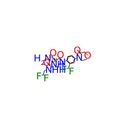 NC(=O)[C@H](NC(=O)NCC(F)F)C(=O)Nc1ccc(N2CCOCC2=O)cc1C(F)F